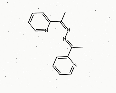 CC(=NN=C(C)c1ccccn1)c1ccccn1